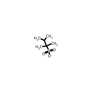 CC(C)C(C)(C)S([O])(=O)=O